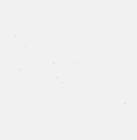 O=C(O)c1cccc(Oc2cccc(-c3nn(Cc4ccc(CP(=O)(OF)OF)c(Br)c4)c(=NC(=O)c4ccccc4)s3)c2)c1